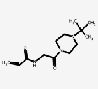 C=CC(=O)NCC(=O)N1CCN(C(C)(C)C)CC1